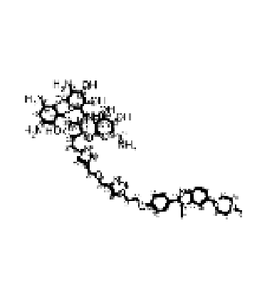 CN1CCN(c2ccc3nc(-c4ccc(OCCn5cc(COCc6cn(CC7OC(OC8[C@H](O[C@H]9OC(CN)[C@@H](O)[C@H](O)C9N)C(N)C[C@@H](N)[C@H]8O)[C@@H](O)[C@H]7O[C@H]7O[C@@H](CN)[C@@H](O)C(O)C7N)nn6)nn5)cc4)[nH]c3c2)CC1